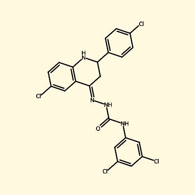 O=C(NN=C1CC(c2ccc(Cl)cc2)Nc2ccc(Cl)cc21)Nc1cc(Cl)cc(Cl)c1